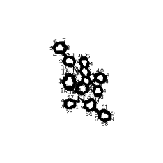 C1=CC(c2ccccc2)CC=C1N(c1ccccc1)c1c2c(cc3ccccc13)C(c1ccccc1)(c1ccccc1)c1cc(N(c3ccccc3)c3ccc(-c4ccccc4)cc3)ccc1-2